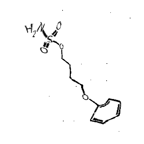 NS(=O)(=O)OCCCCOc1ccccc1